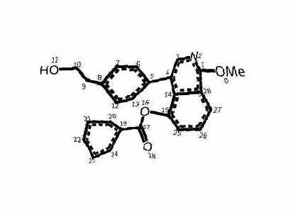 COc1ncc(-c2ccc(CCO)cc2)c2c(OC(=O)c3ccccc3)cccc12